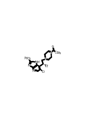 CC[C@@H](CN1CCN(C(=O)OC)CC1)c1c(Cl)cnc2nc(O)[nH]c12